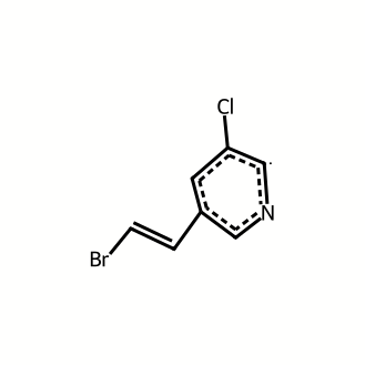 Clc1[c]ncc(C=CBr)c1